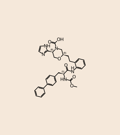 COC(=O)N[C@@H](Cc1ccc(-c2ccccc2)cc1)C(=O)Nc1ccccc1CC[C@@H]1CN(C(=O)O)[C@H](c2ncc[nH]2)CO1